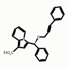 CCOC(=O)c1cc([C@@H](OCC#Cc2ccccc2)c2ccccc2)n2ccccc12